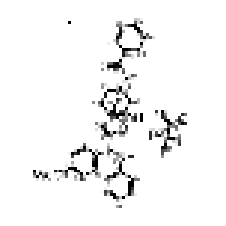 COc1ccc(C(Nc2ccccc2)C(=O)O[C@H]2C[N+]3(CC(=O)c4ccccc4)CCC2CC3)cn1.O=C([O-])C(F)(F)F